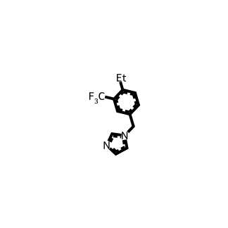 CCc1ccc(Cn2ccnc2)cc1C(F)(F)F